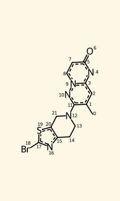 Cc1cc2nc(=O)ccn2nc1N1CCc2nc(Br)sc2C1